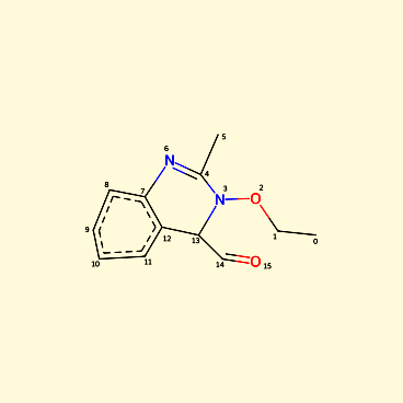 CCON1C(C)=Nc2ccccc2C1C=O